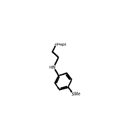 CCCCCCCCCNc1ccc(SC)cc1